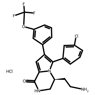 Cl.NCC[C@H]1CNC(=O)c2cc(-c3cccc(OC(F)(F)F)c3)c(-c3cccc(Cl)c3)n21